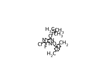 C=C1CN2CC(=C)CC2(COc2nc(OCC[Si](C)(C)C)c3cnc(Cl)c(F)c3n2)C1